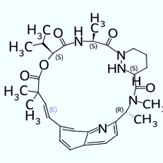 CC(C)[C@@H]1OC(=O)C(C)(C)/C=C/c2ccc3ccc(nc3c2)[C@@H](C)N(C)C(=O)[C@@H]2CCCN(N2)C(=O)[C@H](C)NC1=O